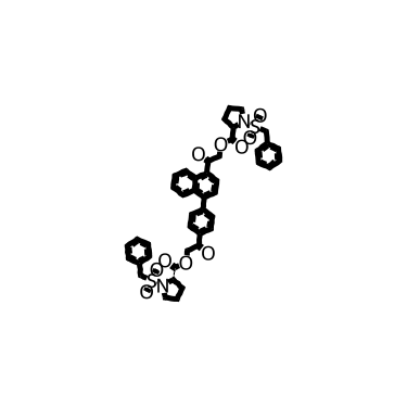 O=C(COC(=O)[C@@H]1CCCN1S(=O)(=O)Cc1ccccc1)c1ccc(-c2ccc(C(=O)COC(=O)C3CCCN3S(=O)(=O)Cc3ccccc3)c3ccccc23)cc1